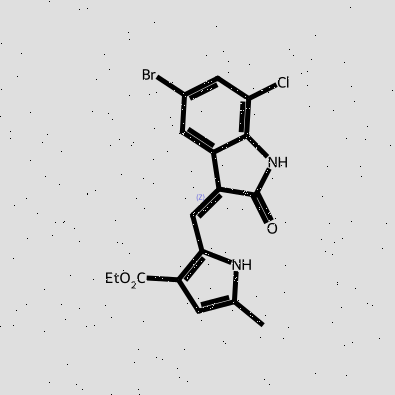 CCOC(=O)c1cc(C)[nH]c1/C=C1\C(=O)Nc2c(Cl)cc(Br)cc21